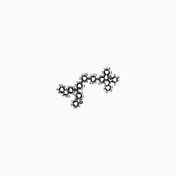 c1ccc(-c2c3ccccc3n3c4ccccc4c4cc(-c5ccc(-c6cccc(-c7ccc(N(c8ccc9c(ccc%10ccccc%109)c8)c8ccc9sc%10ccccc%10c9c8)cc7)c6)cc5)ccc4c23)cc1